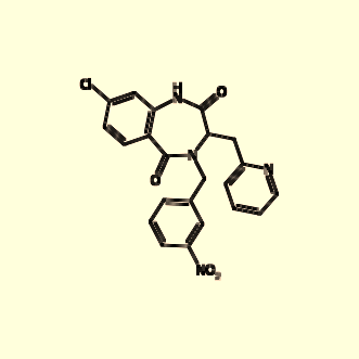 O=C1Nc2cc(Cl)ccc2C(=O)N(Cc2cccc([N+](=O)[O-])c2)C1Cc1ccccn1